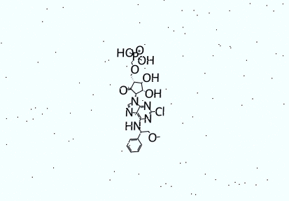 COCC(Nc1nc(Cl)nc2c1ncn2[C@H]1C(=O)[C@H](COCP(=O)(O)O)[C@H](O)[C@@H]1O)c1ccccc1